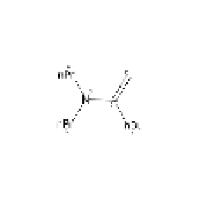 C=C(CCCC)N(CCC)CCC